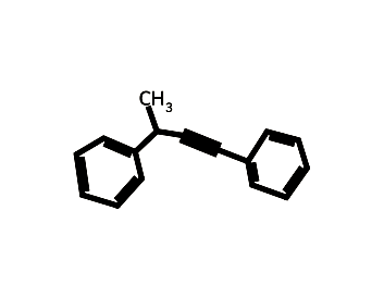 CC(C#Cc1ccccc1)c1ccccc1